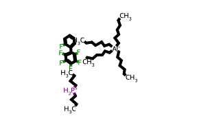 CCCCCC[CH2][Al-]([CH2]CCCCCC)([CH2]CCCCCC)[CH2]CCCCCC.CCCC[PH2+]CCCC.Fc1ccccc1-c1c(F)c(F)c(F)c(F)c1F